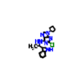 CC(Nc1nc(Cl)nc2c1ncn2C1CCCC1)c1c[nH]c2ccccc12